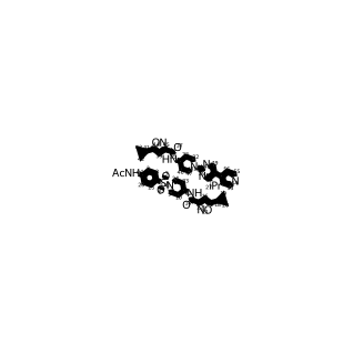 CC(=O)Nc1ccc(S(=O)(=O)N2CCC(NC(=O)c3cc(C4CC4)on3)CC2)cc1.CC(C)c1nc(N2CCC(NC(=O)c3cc(C4CC4)on3)CC2)ncc1-c1ccncc1